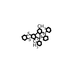 Cc1cc2c3c(c1)N(c1ccccc1)c1ccccc1B3N(c1ccccc1C)c1cc3c(cc1-2)Sc1ccccc1S3